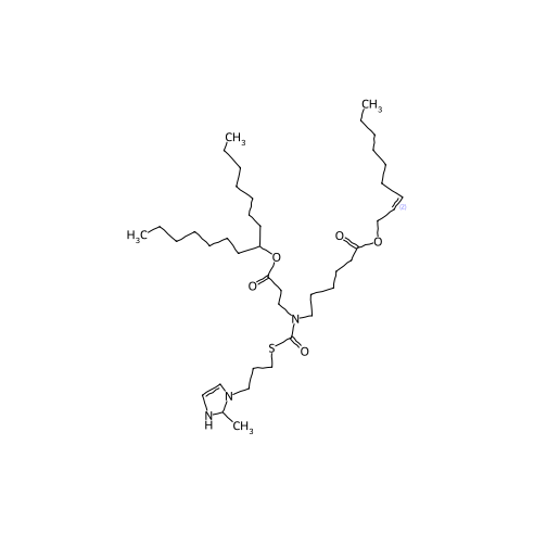 CCCCCC/C=C\COC(=O)CCCCCN(CCC(=O)OC(CCCCCCC)CCCCCCC)C(=O)SCCCN1C=CNC1C